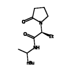 CCCCC(C)NC(=O)[C@H](CC)N1CCCC1=O